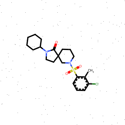 Cc1c(Cl)cccc1S(=O)(=O)N1CCCC2(CCN(C3CCCCC3)C2=O)C1